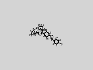 [CH]c1ccc(COc2ccc(C(=O)[N+]3(C)CCC[C@H]3CN3CCCC3)cc2)cc1